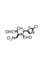 CN(C=O)C(=C[N+](=O)[O-])N(C=O)Cc1cnc(Cl)s1